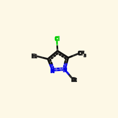 CCc1nn(CC)c(C(F)(F)F)c1Cl